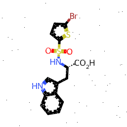 O=C(O)[C@H](Cc1c[nH]c2ccccc12)NS(=O)(=O)c1ccc(Br)s1